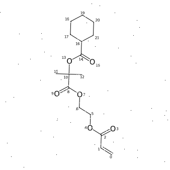 C=CC(=O)OCCOC(=O)C(C)(C)OC(=O)C1CCCCC1